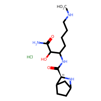 Cl.NC(=O)C(O)C(CCCCNC(=O)O)NC(=O)[C@H]1NC2CCC1C2